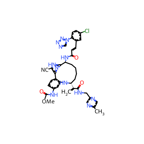 C=C(C(=O)NCc1cnc(C)cn1)[C@H]1CCCC[C@H](NC(=O)/C=C/c2cc(Cl)ccc2-n2cnnn2)c2nc(c(C#N)[nH]2)-c2ccc(NC(=O)OC)cc2N1